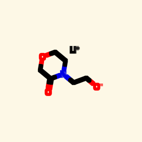 O=C1COCCN1CC[O-].[Li+]